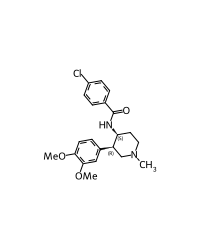 COc1ccc([C@@H]2CN(C)CC[C@@H]2NC(=O)c2ccc(Cl)cc2)cc1OC